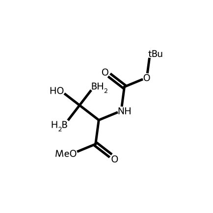 BC(B)(O)C(NC(=O)OC(C)(C)C)C(=O)OC